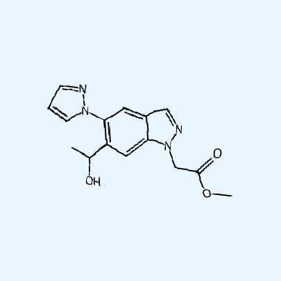 COC(=O)Cn1ncc2cc(-n3cccn3)c(C(C)O)cc21